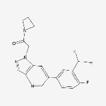 O=C(Cn1ncc2ncc(-c3ccc(F)c(C(F)F)c3)cc21)N1CCC1